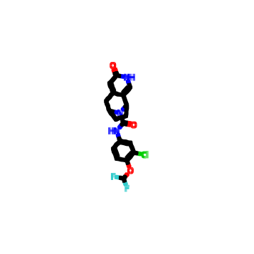 O=C(Nc1ccc(OC(F)F)c(Cl)c1)N1C2CCC1c1c[nH]c(=O)cc1C2